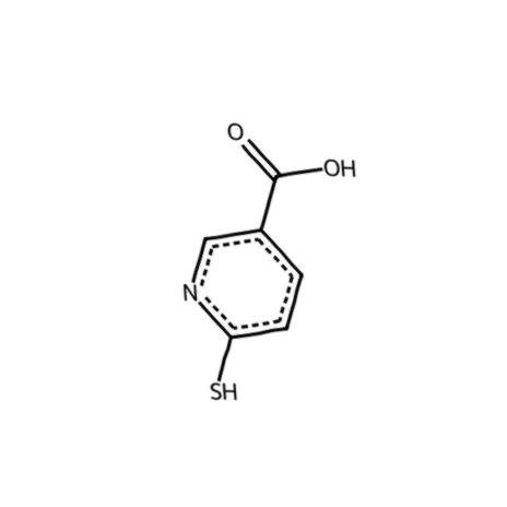 O=C(O)c1ccc(S)nc1